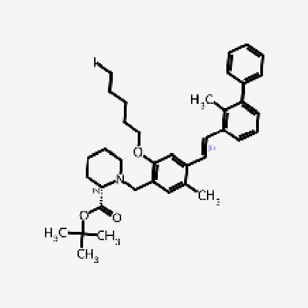 Cc1cc(CN2CCCC[C@H]2C(=O)OC(C)(C)C)c(OCCCCCI)cc1/C=C/c1cccc(-c2ccccc2)c1C